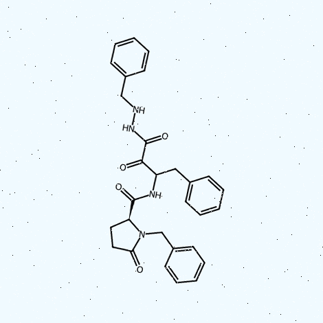 O=C(NNCc1ccccc1)C(=O)C(Cc1ccccc1)NC(=O)[C@@H]1CCC(=O)N1Cc1ccccc1